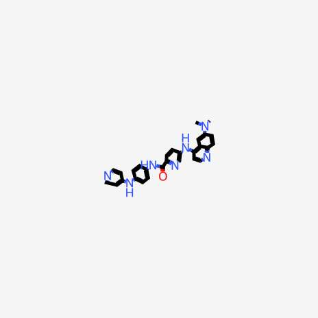 CN(C)c1ccc2nccc(Nc3ccc(C(=O)Nc4ccc(Nc5ccncc5)cc4)nc3)c2c1